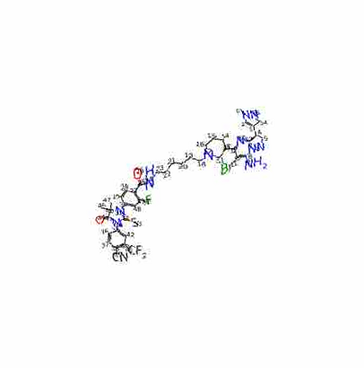 Cn1cc(-c2cnn3c(N)c(Br)c([C@@H]4CCCN(CCCCCCNC(=O)c5ccc(N6C(=S)N(c7ccc(C#N)c(C(F)(F)F)c7)C(=O)C6(C)C)cc5F)C4)nc23)cn1